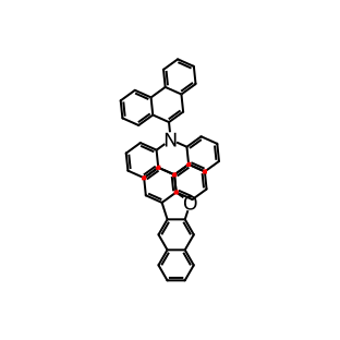 c1ccc(-c2ccccc2N(c2ccccc2-c2cccc3c2oc2cc4ccccc4cc23)c2cc3ccccc3c3ccccc23)cc1